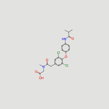 CC(C)C(=O)Nc1ccc(Oc2c(Cl)cc(CC(=O)N(C)CC(=O)O)cc2Cl)cc1